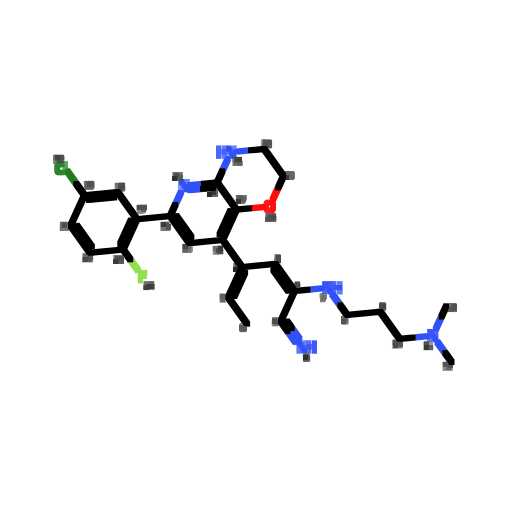 C/C=C(\C=C(/C=N)NCCCN(C)C)c1cc(-c2cc(Cl)ccc2F)nc2c1OCCN2